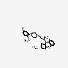 CC(C)Oc1ccc(F)cc1N1CCN(CCCN2c3ccccc3Sc3cccc(O)c32)CC1.Cl